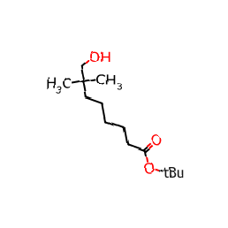 CC(C)(CO)CCCCCC(=O)OC(C)(C)C